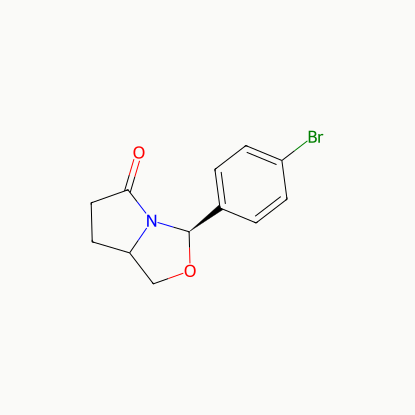 O=C1CCC2CO[C@H](c3ccc(Br)cc3)N12